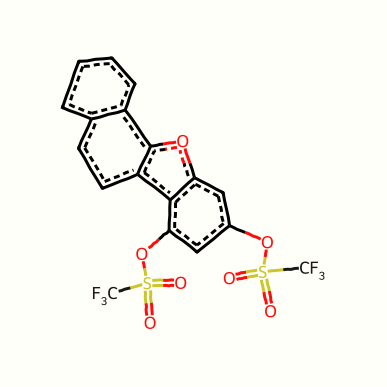 O=S(=O)(Oc1cc(OS(=O)(=O)C(F)(F)F)c2c(c1)oc1c3ccccc3ccc12)C(F)(F)F